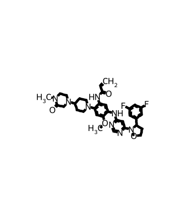 C=CC(=O)Nc1cc(Nc2cc(N3OCCC3c3cc(F)cc(F)c3)ncn2)c(OC)cc1N1CCC(N2CCN(C)C(=O)C2)CC1